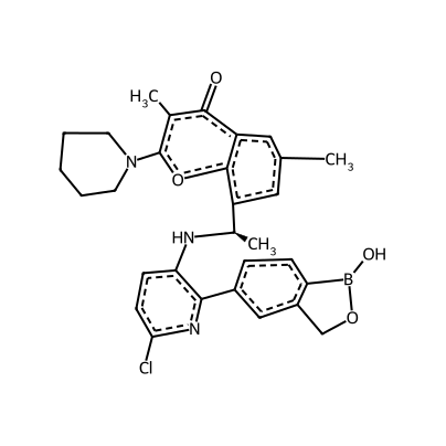 Cc1cc([C@@H](C)Nc2ccc(Cl)nc2-c2ccc3c(c2)COB3O)c2oc(N3CCCCC3)c(C)c(=O)c2c1